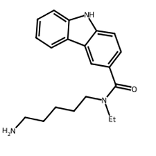 CCN(CCCCCN)C(=O)c1ccc2[nH]c3ccccc3c2c1